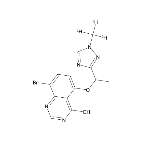 [2H]C([2H])([2H])n1cnc(C(C)Oc2ccc(Br)c3ncnc(O)c23)n1